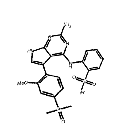 COc1cc(P(C)(C)=O)ccc1-c1c[nH]c2nc(N)nc(Nc3ccccc3S(=O)(=O)C(C)C)c12